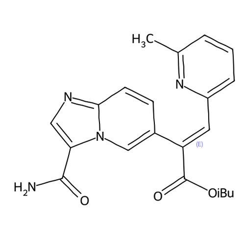 Cc1cccc(/C=C(/C(=O)OCC(C)C)c2ccc3ncc(C(N)=O)n3c2)n1